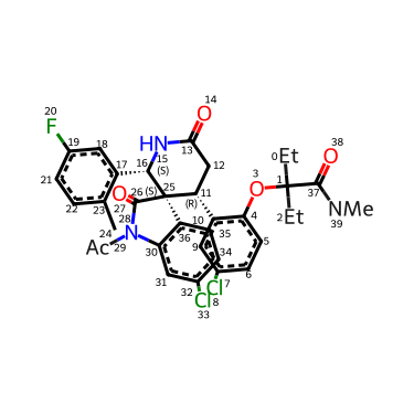 CCC(CC)(Oc1ccc(Cl)cc1[C@H]1CC(=O)N[C@@H](c2cc(F)ccc2C)[C@]12C(=O)N(C(C)=O)c1cc(Cl)ccc12)C(=O)NC